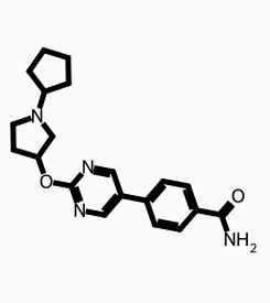 NC(=O)c1ccc(-c2cnc(OC3CCN(C4CCCC4)C3)nc2)cc1